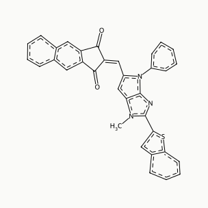 Cn1c(-c2cc3ccccc3s2)nc2c1cc(C=C1C(=O)c3cc4ccccc4cc3C1=O)n2-c1ccccc1